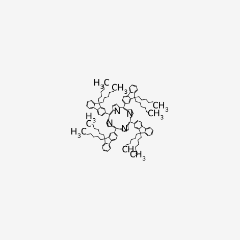 CCCCCCC1(CCCCCC)c2ccccc2-c2ccc(C3=C4C=CC(=N4)C(c4ccc5c(c4)C(CCCCCC)(CCCCCC)c4ccccc4-5)=C4C=CC(=N4)C(c4ccc5c(c4)C(CCCCCC)(CCCCCC)c4ccccc4-5)=C4C=CC(=N4)C(c4ccc5c(c4)C(CCCCCC)(CCCCCC)c4ccccc4-5)=C4C=CC3=N4)cc21